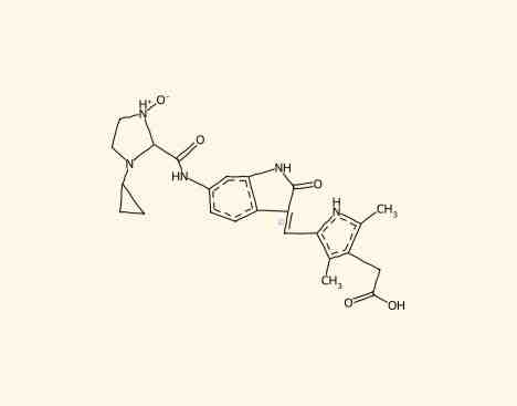 Cc1[nH]c(/C=C2\C(=O)Nc3cc(NC(=O)C4N(C5CC5)CC[NH+]4[O-])ccc32)c(C)c1CC(=O)O